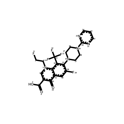 O=C(O)c1cn(CCF)c2c(C(F)(F)F)c(N3CCN(c4ncccn4)CC3)c(F)cc2c1=O